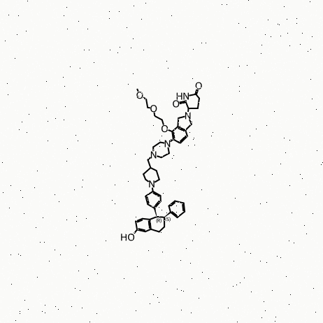 COCCOCCOc1c(N2CCN(CC3CCN(c4ccc([C@@H]5c6ccc(O)cc6CC[C@@H]5c5ccccc5)cc4)CC3)CC2)ccc2c1CN(C1CCC(=O)NC1=O)C2